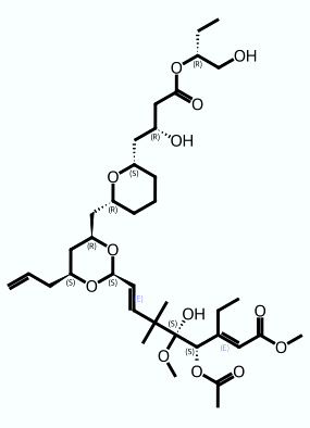 C=CC[C@H]1C[C@@H](C[C@H]2CCC[C@@H](C[C@@H](O)CC(=O)O[C@H](CC)CO)O2)O[C@@H](/C=C/C(C)(C)[C@](O)(OC)[C@@H](OC(C)=O)/C(=C/C(=O)OC)CC)O1